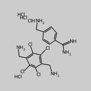 Cl.Cl.Cl.Cl.N=C(N)c1ccc(CN)cc1.NCc1c(Cl)c(Cl)c(CN)c(Cl)c1Cl